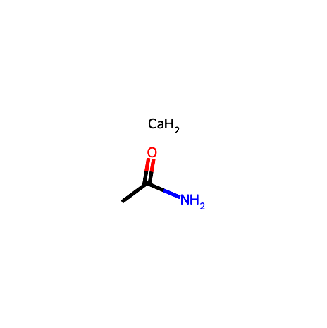 CC(N)=O.[CaH2]